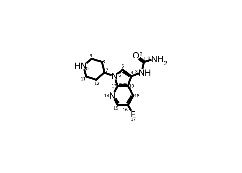 NC(=O)Nc1cn(C2CCNCC2)c2ncc(F)cc12